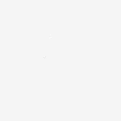 N#CC=C(C#N)c1cccc2occc12